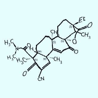 CC[C@@]12CCC3[C@](OC1=O)(C(=O)C=C1[C@@]3(C)CC[C@H]3[C@](C)(C(=O)N(C)C)C(=O)C(C#N)=C[C@]13C)C2C